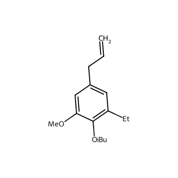 C=CCc1cc(CC)c(OCC(C)C)c(OC)c1